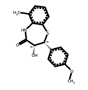 COc1ccc([C@H]2Sc3cccc(C)c3NC(=O)[C@H]2O)cc1